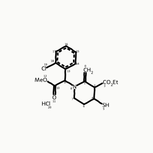 C=C1C(C(=O)OCC)C(S)CCN1C(C(=O)OC)c1ccccc1Cl.Cl